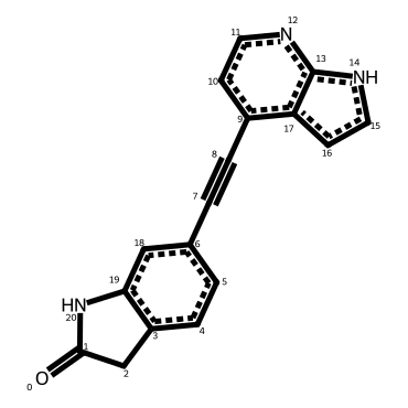 O=C1Cc2ccc(C#Cc3ccnc4[nH]ccc34)cc2N1